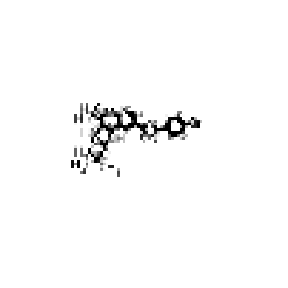 CC(C)(C)OC(=O)NC1c2cc(-c3nc(-c4ccc(Br)cc4)no3)cnc2OC(C)(C)C1O